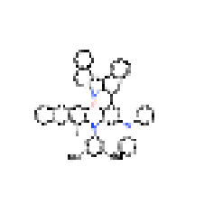 Cc1c2c(cc3cc4ccccc4cc13)B1c3c(cc(N(c4ccccc4)c4ccccc4)cc3N2c2cc(C(C)(C)C)cc(C(C)(C)C)c2)-c2cc3ccccc3c3c4c5ccccc5ccc4n1c23